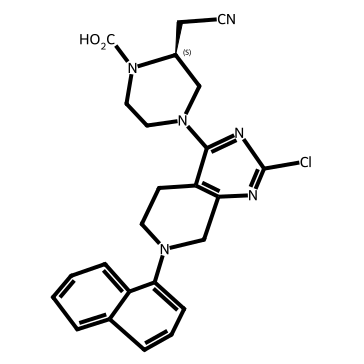 N#CC[C@H]1CN(c2nc(Cl)nc3c2CCN(c2cccc4ccccc24)C3)CCN1C(=O)O